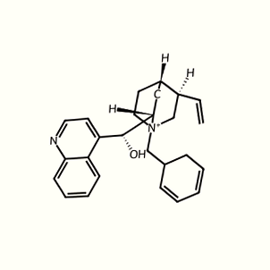 C=C[C@H]1C[N+]2(CC3C=CC=CC3)CC[C@H]1C[C@H]2[C@H](O)c1ccnc2ccccc12